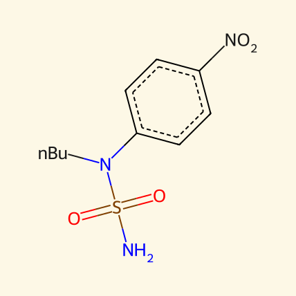 CCCCN(c1ccc([N+](=O)[O-])cc1)S(N)(=O)=O